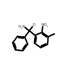 Cc1cccc(C(Cl)(c2ccccc2)[N+](=O)[O-])c1[N+](=O)[O-]